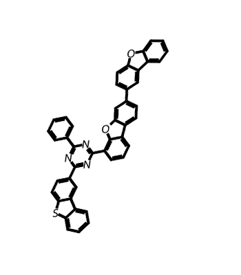 c1ccc(-c2nc(-c3ccc4sc5ccccc5c4c3)nc(-c3cccc4c3oc3cc(-c5ccc6oc7ccccc7c6c5)ccc34)n2)cc1